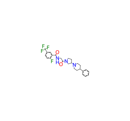 O=C(NCC(=O)N1CCC(N2CCC(c3ccccc3)CC2)C1)c1cc(C(F)(F)F)ccc1F